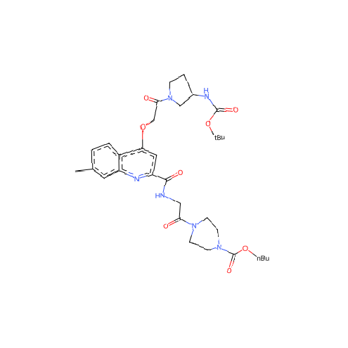 CCCCOC(=O)N1CCN(C(=O)CNC(=O)c2cc(OCC(=O)N3CCC(NC(=O)OC(C)(C)C)C3)c3ccc(C)cc3n2)CC1